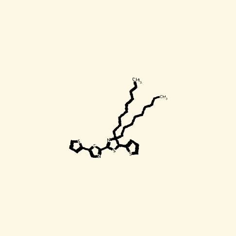 CCCCCCCCCC1(CCCCCCCCC)N=C(c2ncc(-c3cccs3)s2)SC1c1cccs1